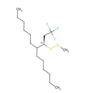 CCCCCCC(CCCCCC)[C@@H](CC(F)(F)F)SSC